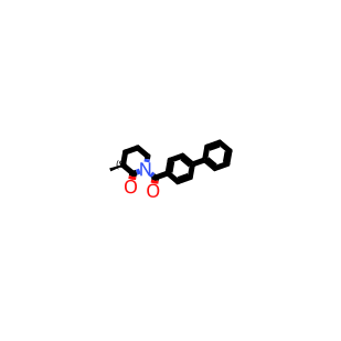 C[C@H]1CCCN(C(=O)c2ccc(-c3ccccc3)cc2)C1=O